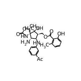 CC(=O)c1cccc(N[C@H]2[C@H](N)[C@]3(NC(=O)O[C@H]3C)[C@@](C)(O)[C@H]2COC(=O)c2c(C)cccc2O)c1